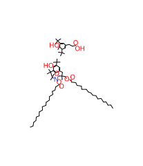 CC(C)(C)C1=CC(CCC(=O)O)=CC(C(C)(C)C)C1(C)O.CCCCCCCCCCCCCCCCCC(=O)OCC(COC(=O)CCCCCCCCCCCCCCCCC)(Cc1cc(C(C)(C)C)c(O)c(C(C)(C)C)c1)C1=NC(C)CO1